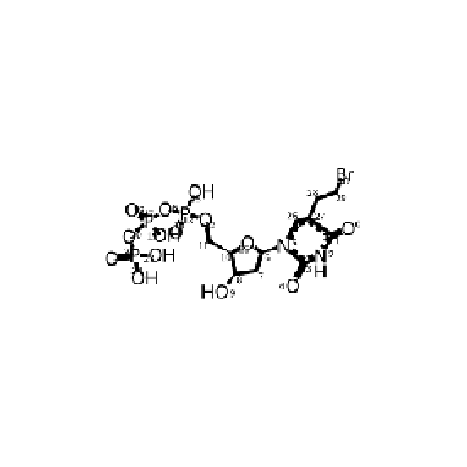 O=c1[nH]c(=O)n([C@H]2C[C@@H](O)[C@@H](COP(=O)(O)OP(=O)(O)OP(=O)(O)O)O2)cc1CCBr